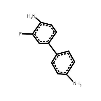 Nc1ccc(-c2ccc(N)c(F)c2)cc1